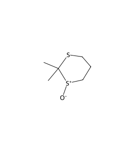 CC1(C)SCCC[S+]1[O-]